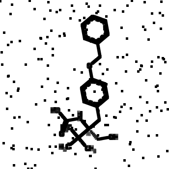 CC(C)(C)[C@](CO)(Cc1ccc(OCc2ccccc2)cc1)NC(=O)O